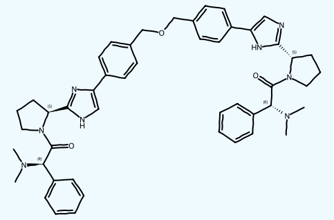 CN(C)[C@@H](C(=O)N1CCC[C@H]1c1nc(-c2ccc(COCc3ccc(-c4cnc([C@@H]5CCCN5C(=O)[C@@H](c5ccccc5)N(C)C)[nH]4)cc3)cc2)c[nH]1)c1ccccc1